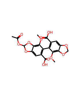 COc1c2c(cc(C(=O)O)c1-c1c(C(=O)O)cc3c(c1OC)OC(OC(C)=O)O3)OCO2